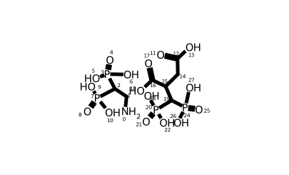 NCC(P(=O)(O)O)P(=O)(O)O.O=C(O)CC(C(=O)O)C(P(=O)(O)O)P(=O)(O)O